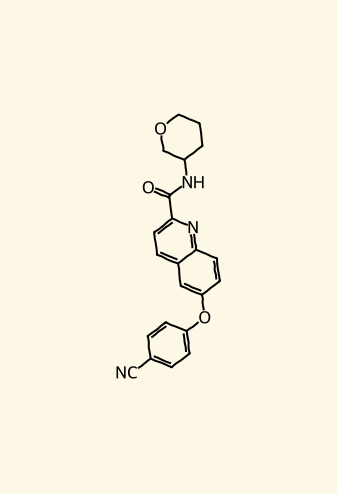 N#Cc1ccc(Oc2ccc3nc(C(=O)NC4CCCOC4)ccc3c2)cc1